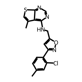 Cc1ccc(-c2cc(CNc3ncnc4scc(C)c34)on2)c(Cl)c1